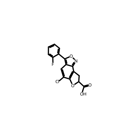 O=C(O)C1Cc2c(c(Cl)cc3c(-c4ccccc4F)onc23)O1